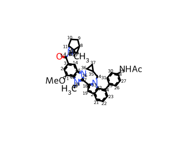 COc1cc(C(=O)N2CC3CCC2[C@@H]3C)cc2nc(-c3cc4cccc(-c5ccc(NC(C)=O)cc5)c4n3CC3CC3)n(C)c12